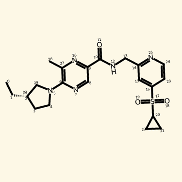 CC[C@H]1CCN(c2ncc(C(=O)NCc3cc(S(=O)(=O)C4CC4)ccn3)nc2C)C1